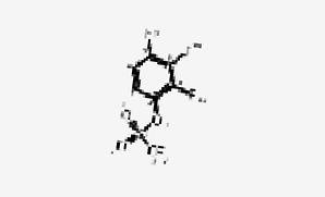 O=S(=O)(Oc1ccc(F)c(F)c1F)C(F)(F)F